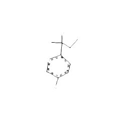 CC(O)(CF)c1ccc([N+](=O)[O-])cn1